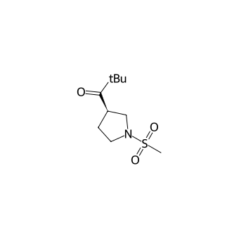 CC(C)(C)C(=O)[C@@H]1CCN(S(C)(=O)=O)C1